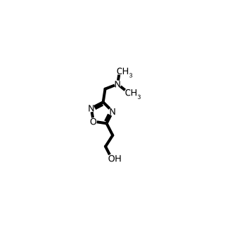 CN(C)Cc1noc(CCO)n1